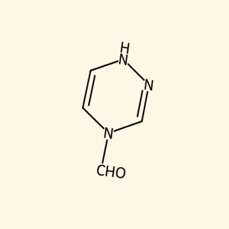 O=CN1C=CNN=C1